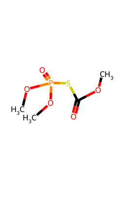 COC(=O)SP(=O)(OC)OC